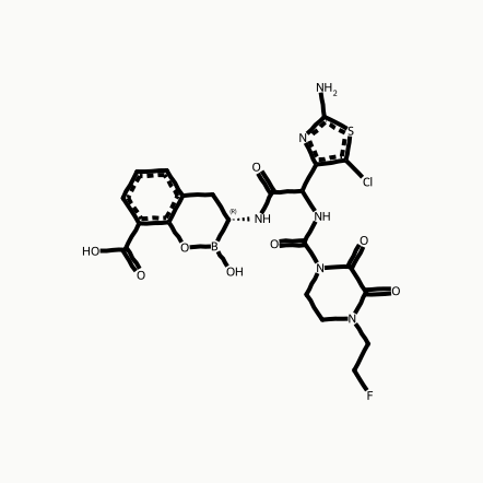 Nc1nc(C(NC(=O)N2CCN(CCF)C(=O)C2=O)C(=O)N[C@H]2Cc3cccc(C(=O)O)c3OB2O)c(Cl)s1